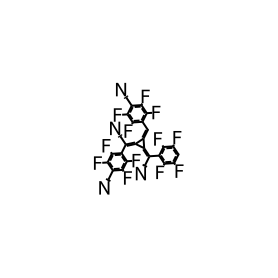 N#C/C(=C1/C(=Cc2c(F)c(F)c(C#N)c(F)c2F)/C1=C(\C#N)c1c(F)c(F)c(C#N)c(F)c1F)c1c(F)c(F)cc(F)c1F